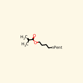 C=C(C)C(=O)OCCCCCC[CH]CC